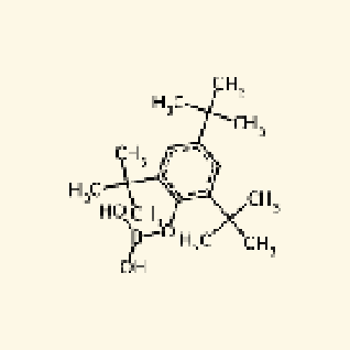 CC(C)(C)c1cc(C(C)(C)C)c(OB(O)O)c(C(C)(C)C)c1